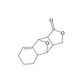 O=C1OCC2C3OC(C4=CCCCC43)C12